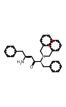 NC(=CC(=O)[C@H](Cc1ccccc1)N(Cc1ccccc1)Cc1ccccc1)Cc1ccccc1